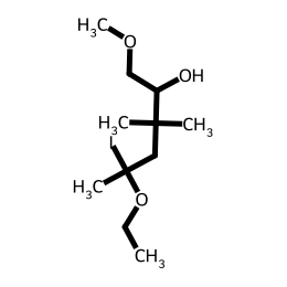 CCOC(C)(I)CC(C)(C)C(O)COC